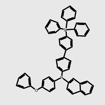 c1ccc(Oc2ccc(N(c3ccc(-c4ccc([Si](c5ccccc5)(c5ccccc5)c5ccccc5)cc4)cc3)c3ccc4ccccc4c3)cc2)cc1